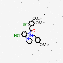 COc1ccc(CNN(C(=O)Cc2cc(OC)c(C(=O)O)cc2Br)c2ccccc2N2CCCCC2)cc1.Cl